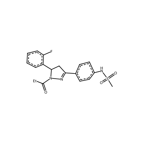 CCC(=O)N1N=C(c2ccc(NS(C)(=O)=O)cc2)CC1c1ccccc1F